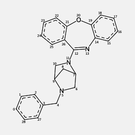 c1ccc(CN2CC3CC2CN3C2=Nc3ccccc3Oc3ccccc32)cc1